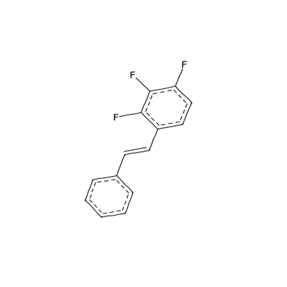 Fc1ccc(C=Cc2ccccc2)c(F)c1F